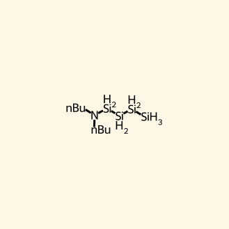 CCCCN(CCCC)[SiH2][SiH2][SiH2][SiH3]